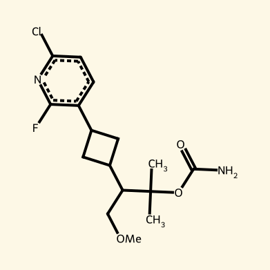 COCC(C1CC(c2ccc(Cl)nc2F)C1)C(C)(C)OC(N)=O